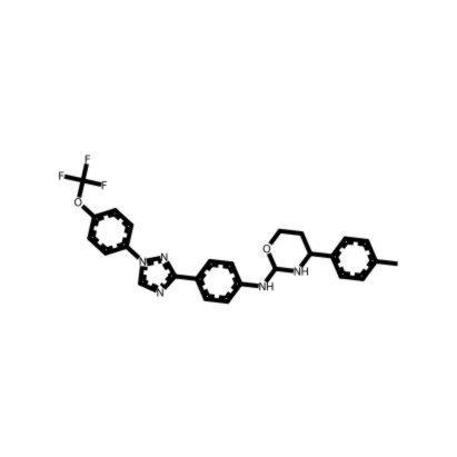 Cc1ccc(C2CCOC(Nc3ccc(-c4ncn(-c5ccc(OC(F)(F)F)cc5)n4)cc3)N2)cc1